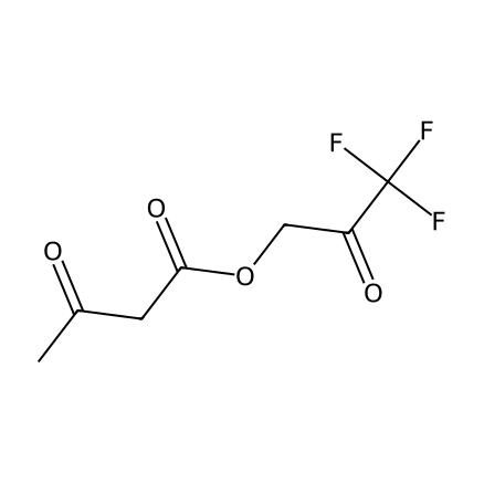 CC(=O)CC(=O)OCC(=O)C(F)(F)F